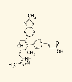 C=C(/C=C\c1[nH]ncc1C)/C(=C(\CC)c1ccc2sc(C)nc2c1)c1ccc(/C=C/C(=O)O)cc1